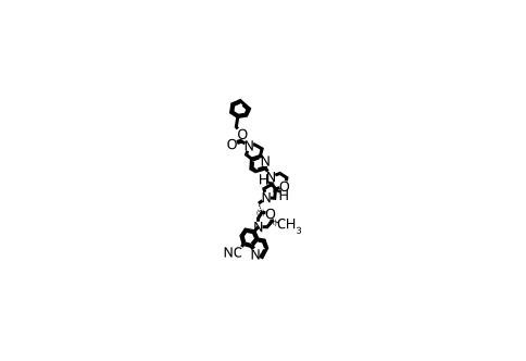 C[C@@H]1CN(c2ccc(C#N)c3ncccc23)C[C@H](CN2C[C@H]3OCCN(c4ccc5c(n4)CCN(C(=O)OCc4ccccc4)C5)[C@H]3C2)O1